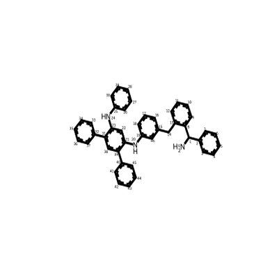 NC(c1ccccc1)c1ccccc1Cc1cccc(Nc2cc(Nc3ccccc3)c(-c3ccccc3)cc2-c2ccccc2)c1